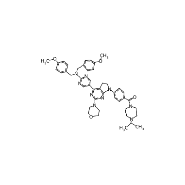 COc1ccc(CN(Cc2ccc(OC)cc2)c2ncc(-c3nc(N4CCOCC4)nc4c3CCN4c3ccc(C(=O)N4CCN(C(C)C)CC4)cc3)cn2)cc1